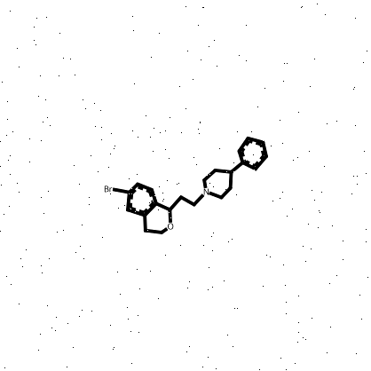 Brc1ccc2c(c1)CCOC2CCN1CCC(c2ccccc2)CC1